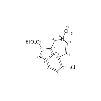 CCOC(=O)c1sc2ccc(Cl)c3c2c1CN(C)C=C3